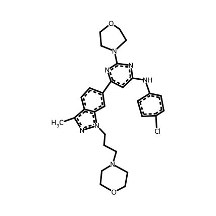 Cc1nn(CCCN2CCOCC2)c2cc(-c3cc(Nc4ccc(Cl)cc4)nc(N4CCOCC4)n3)ccc12